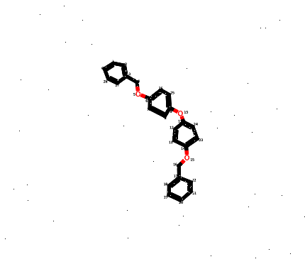 c1ccc(COc2ccc(Oc3ccc(OCc4ccccc4)cc3)cc2)cc1